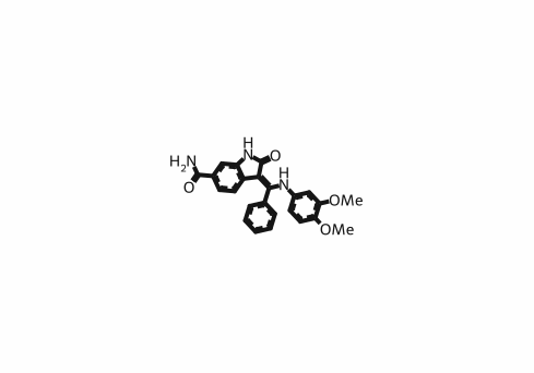 COc1ccc(N/C(=C2\C(=O)Nc3cc(C(N)=O)ccc32)c2ccccc2)cc1OC